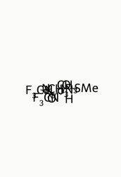 CSCCNC(=O)c1ccc(C2=NOC(c3cc(C(F)(F)F)nn3C)(C(F)(F)F)C2)cc1C